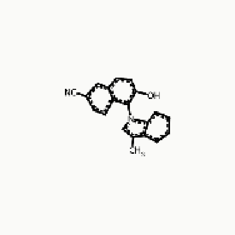 Cc1cn(-c2c(O)ccc3cc(C#N)ccc23)c2ccccc12